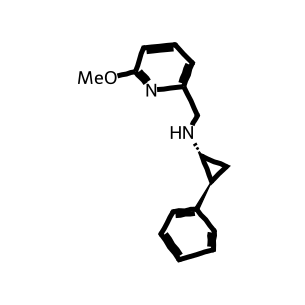 COc1cccc(CN[C@@H]2C[C@H]2c2ccccc2)n1